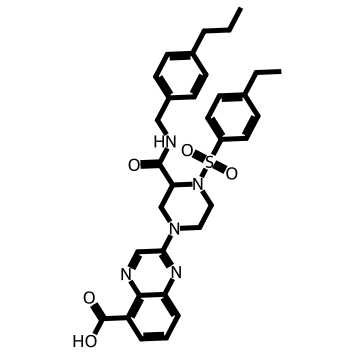 CCCc1ccc(CNC(=O)C2CN(c3cnc4c(C(=O)O)cccc4n3)CCN2S(=O)(=O)c2ccc(CC)cc2)cc1